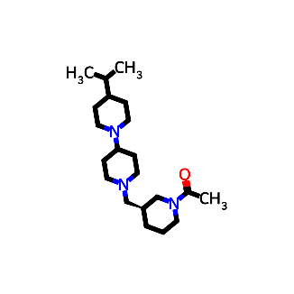 CC(=O)N1CCC[C@@H](CN2CCC(N3CCC(C(C)C)CC3)CC2)C1